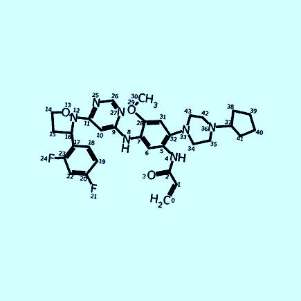 C=CC(=O)Nc1cc(Nc2cc(N3OCCC3c3ccc(F)cc3F)ncn2)c(OC)cc1N1CCN(C2CCCC2)CC1